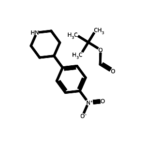 CC(C)(C)OC=O.O=[N+]([O-])c1ccc(C2CCNCC2)cc1